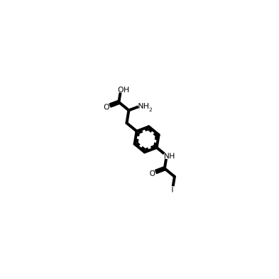 NC(Cc1ccc(NC(=O)CI)cc1)C(=O)O